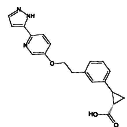 O=C(O)[C@H]1CC1c1cccc(CCOc2ccc(-c3ccn[nH]3)nc2)c1